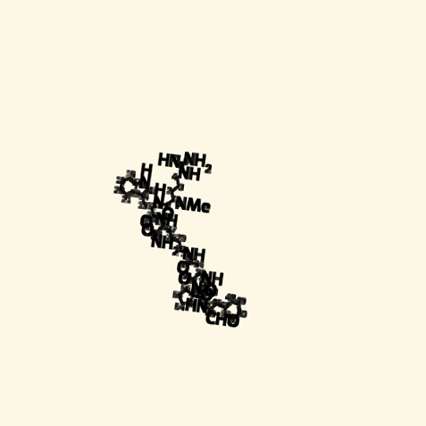 CN[C@@H](CCCNC(=N)N)C(=O)N[C@@H](Cc1c[nH]c2ccccc12)C(=O)N[C@@H](CCCCNC(=O)C[C@@H]1NC(=O)N(C2(C(=O)N[C@@H](C=O)Cc3ccccc3)CCCC2)C1=O)C(N)=O